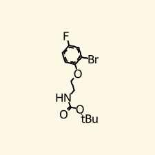 CC(C)(C)OC(=O)NCCOc1ccc(F)cc1Br